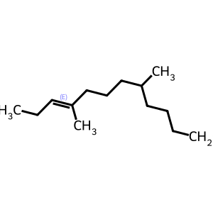 [CH2]CCCC(C)CCC/C(C)=C/CC